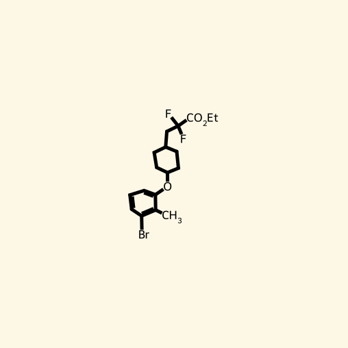 CCOC(=O)C(F)(F)CC1CCC(Oc2cccc(Br)c2C)CC1